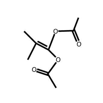 CC(=O)OC(OC(C)=O)=C(C)C